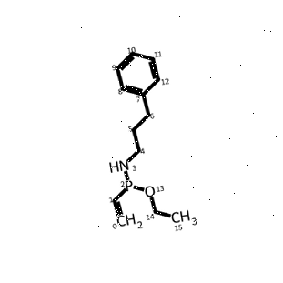 C=CP(NCCCc1ccccc1)OCC